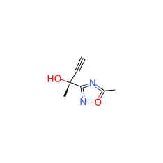 C#C[C@@](C)(O)c1noc(C)n1